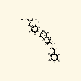 CN(C)Cc1ccc([C@H]2CC[C@@H](OC(=O)C/C=C/c3ccccc3)CC2)cc1